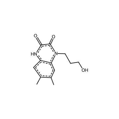 Cc1cc2[nH]c(=O)c(=O)n(CCCO)c2cc1C